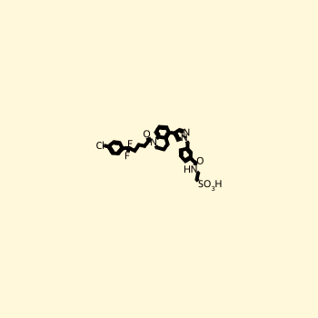 O=C(NCCS(=O)(=O)O)c1cccc(Cn2cc(-c3cccc4c3CCCN4C(=O)CCCC(F)(F)c3ccc(Cl)cc3)cn2)c1